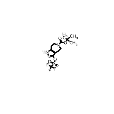 CC(C)(C)OC(=O)N1CCc2[nH]nc(OS(=O)(=O)C(F)(F)F)c2CC1